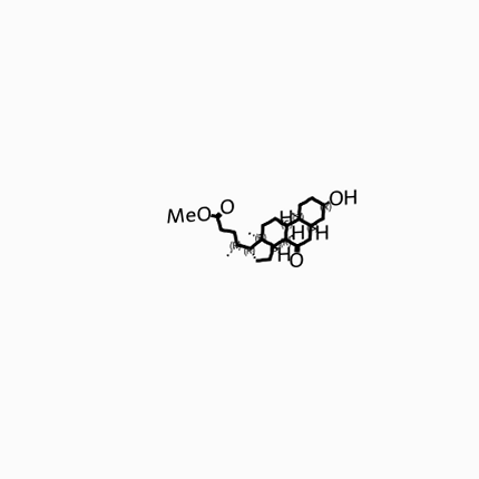 COC(=O)CC[C@@H](C)[C@H]1CC[C@H]2[C@@H]3C(=O)C[C@@H]4C[C@H](O)CC[C@]4(C)[C@H]3CC[C@]12C